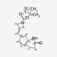 CC(C)(C)OC(=O)N1CC(=Cc2ccc3c(c2)NC(=O)CC3)C1